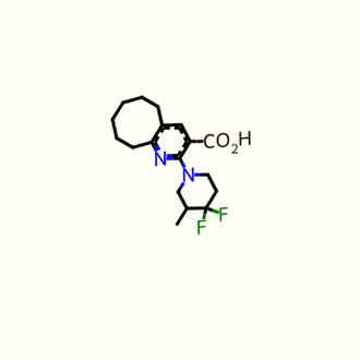 CC1CN(c2nc3c(cc2C(=O)O)CCCCCC3)CCC1(F)F